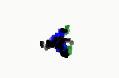 CO[C@@H](C)c1c(N(C(=O)Nn2ncc(C(F)F)n2)c2cncc(C(F)(F)F)c2)cnc2ccc(Cl)nc12